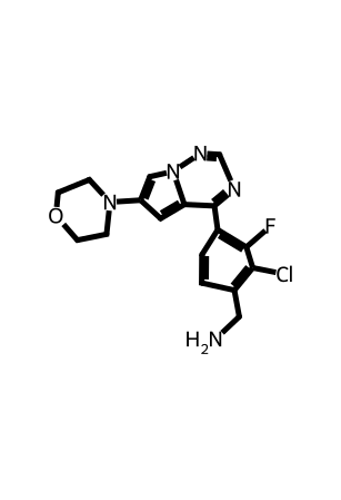 NCc1ccc(-c2ncnn3cc(N4CCOCC4)cc23)c(F)c1Cl